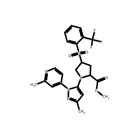 COC(=O)C1CC(S(=O)(=O)c2ccccc2C(F)(F)F)CN1c1cc(C)nn1-c1ccnc(C)c1